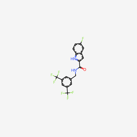 O=C(NCc1cc(C(F)(F)F)cc(C(F)(F)F)c1)c1cc2cc(F)ccc2[nH]1